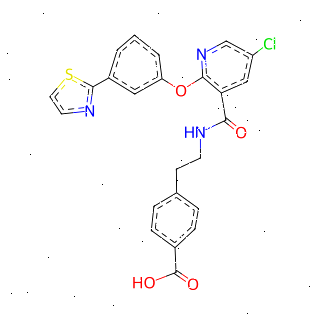 O=C(O)c1ccc(CCNC(=O)c2cc(Cl)cnc2Oc2cccc(-c3nccs3)c2)cc1